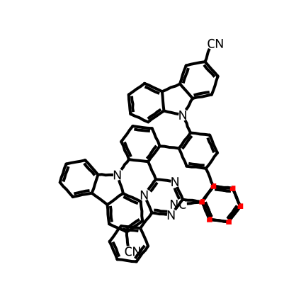 N#Cc1ccc2c(c1)c1ccccc1n2-c1ccc(-c2ccccc2C#N)cc1-c1cccc(-n2c3ccccc3c3cc(C#N)ccc32)c1-c1nc(-c2ccccc2)nc(-c2ccccc2)n1